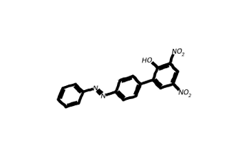 O=[N+]([O-])c1cc(-c2c[c]c(N=Nc3ccccc3)cc2)c(O)c([N+](=O)[O-])c1